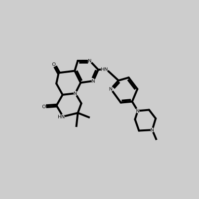 CN1CCN(c2ccc(Nc3ncc4c(n3)N3CC(C)(C)NC(=O)C3CC4=O)nc2)CC1